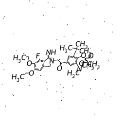 CCOc1cc2c(c(F)c1OCC)C(=N)N(CC(=O)c1cc(N(C)C)c(OS(C)(=O)=O)c(C(C)(C)C)c1)C2